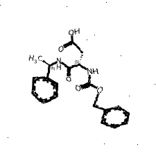 C[C@@H](NC(=O)[C@H](CC(=O)O)NC(=O)OCc1ccccc1)c1ccccc1